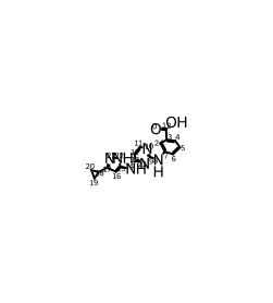 O=C(O)c1cccc(Nc2nccc(Nc3cc(C4CC4)n[nH]3)n2)c1